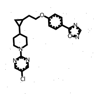 Clc1cnc(N2CCC(C3CC3CCOc3ccc(-c4ncno4)cc3)CC2)nc1